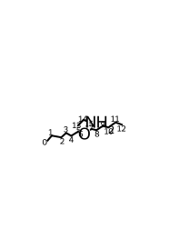 CCCCCCOCCCCCC.CCN